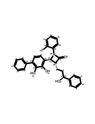 O=C1[C@H](CC[C@H](O)c2ccccc2)[C@@H](c2ccc(-c3ccccc3)c(O)c2O)N1c1ccccc1F